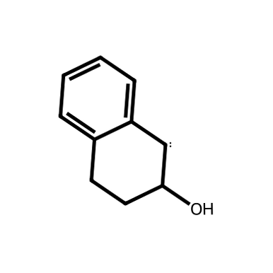 OC1[C]c2ccccc2CC1